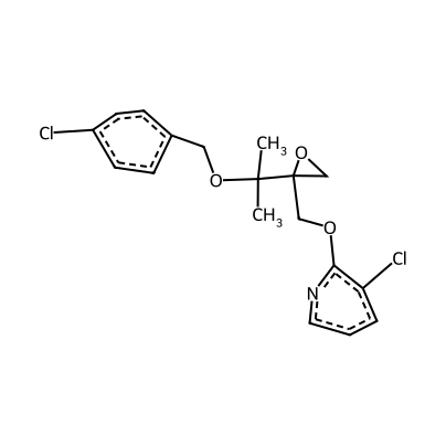 CC(C)(OCc1ccc(Cl)cc1)C1(COc2ncccc2Cl)CO1